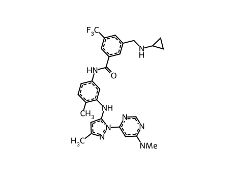 CNc1cc(-n2nc(C)cc2Nc2cc(NC(=O)c3cc(CNC4CC4)cc(C(F)(F)F)c3)ccc2C)ncn1